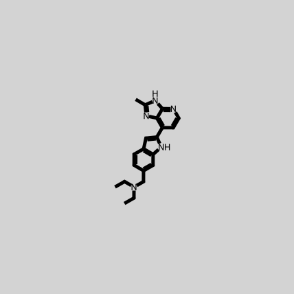 CCN(CC)Cc1ccc2cc(-c3ccnc4[nH]c(C)nc34)[nH]c2c1